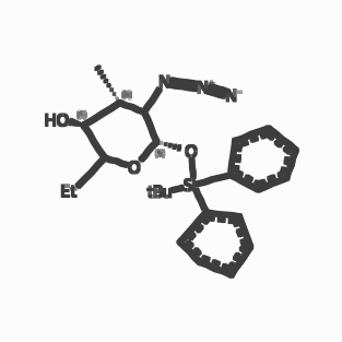 CCC1O[C@@H](O[Si](c2ccccc2)(c2ccccc2)C(C)(C)C)C(N=[N+]=[N-])[C@@H](C)[C@@H]1O